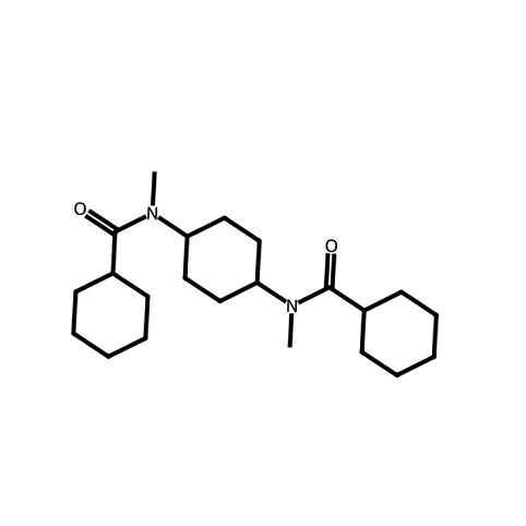 CN(C(=O)C1CCCCC1)C1CCC(N(C)C(=O)C2CCCCC2)CC1